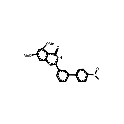 COc1cc(OC)c2c(=O)[nH]c(-c3cccc(-c4ccc([S+](C)[O-])cc4)c3)nc2c1